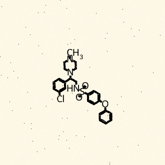 CN1CCN(C(CNS(=O)(=O)c2ccc(Oc3ccccc3)cc2)c2cccc(Cl)c2)CC1